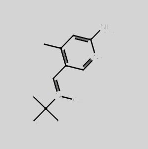 Cc1cc(N)ncc1/C=[N+](\O)C(C)(C)C